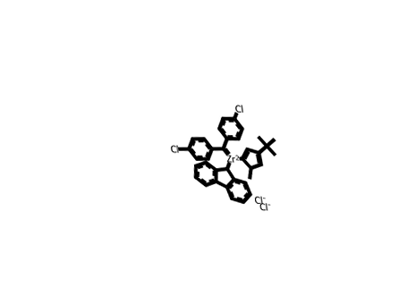 CC1C=C(C(C)(C)C)C=[C]1[Zr+2](=[C](c1ccc(Cl)cc1)c1ccc(Cl)cc1)[CH]1c2ccccc2-c2ccccc21.[Cl-].[Cl-]